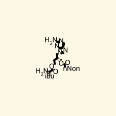 CCCCCCCCCC(=O)OC[C@H](CCOC(=O)[C@@H](N)[C@@H](C)CC)Cn1cnc2cnc(N)nc21